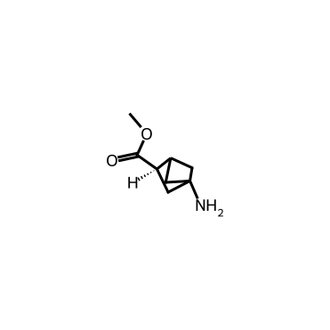 COC(=O)[C@@H]1CC2(N)CC1C2